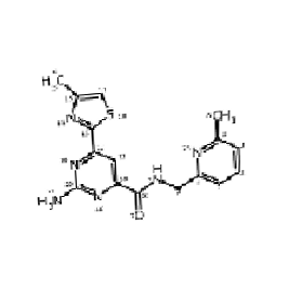 Cc1cccc(CNC(=O)c2cc(-c3nc(C)cs3)nc(N)n2)n1